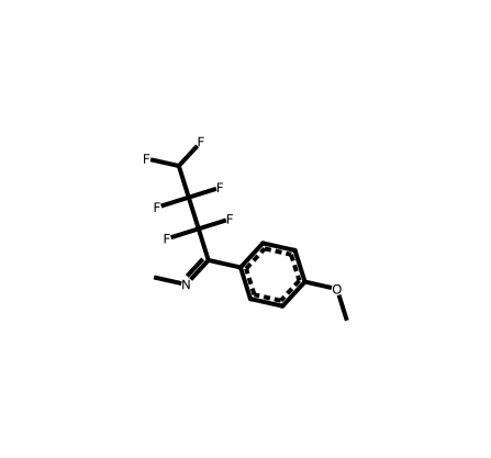 CN=C(c1ccc(OC)cc1)C(F)(F)C(F)(F)C(F)F